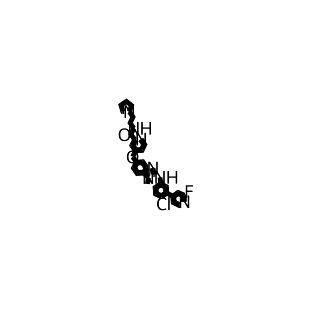 Cn1c(Nc2ccc(Cl)c(-c3ccnc(F)c3)c2)nc2cc(Oc3ccnc(C(=O)NCCN4CCCC4)c3)ccc21